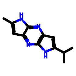 Cc1cc2nc3[nH]c(C(C)C)cc3nc2[nH]1